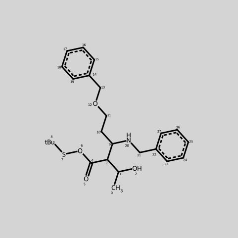 CC(O)C(C(=O)OSC(C)(C)C)C(CCOCc1ccccc1)NCc1ccccc1